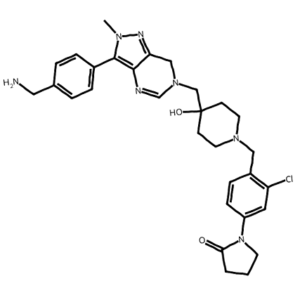 Cn1nc2c(c1-c1ccc(CN)cc1)N=CN(CC1(O)CCN(Cc3ccc(N4CCCC4=O)cc3Cl)CC1)C2